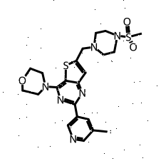 [CH]c1cncc(-c2nc(N3CCOCC3)c3sc(CN4CCN(S(C)(=O)=O)CC4)cc3n2)c1